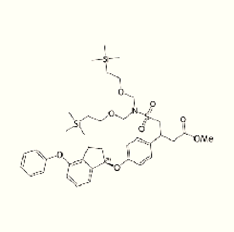 COC(=O)CC(CS(=O)(=O)N(COCC[Si](C)(C)C)COCC[Si](C)(C)C)c1ccc(O[C@@H]2CCc3c(Oc4ccccc4)cccc32)cc1